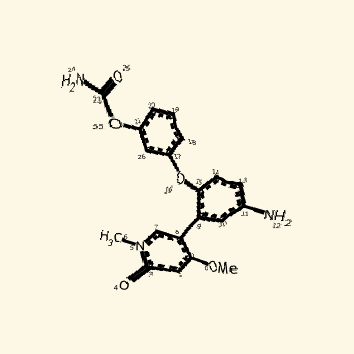 COc1cc(=O)n(C)cc1-c1cc(N)ccc1Oc1cccc(OC(N)=O)c1